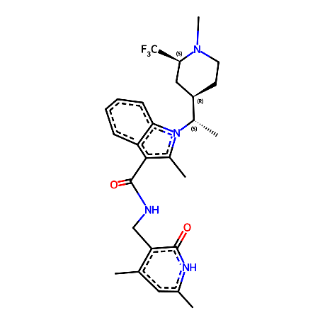 Cc1cc(C)c(CNC(=O)c2c(C)n([C@@H](C)[C@@H]3CCN(C)[C@H](C(F)(F)F)C3)c3ccccc23)c(=O)[nH]1